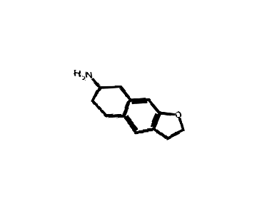 NC1CCc2cc3c(cc2C1)OCC3